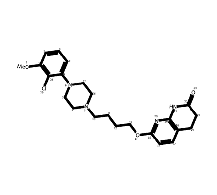 COc1cccc(N2CCN(CCCCOc3ccc4c(n3)NC(=O)CC4)CC2)c1Cl